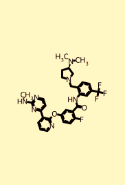 CNc1nccc(-c2cccnc2Oc2ccc(F)c(C(=O)Nc3cc(C(F)(F)F)ccc3CN3CC[C@@H](N(C)C)C3)c2)n1